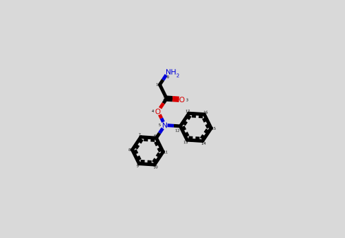 NCC(=O)ON(c1ccccc1)c1ccccc1